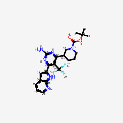 CC(C)(C)OC(=O)N1CCCC(c2nc(N)nc(-c3cc4cccnc4[nH]3)c2C(F)(F)F)C1